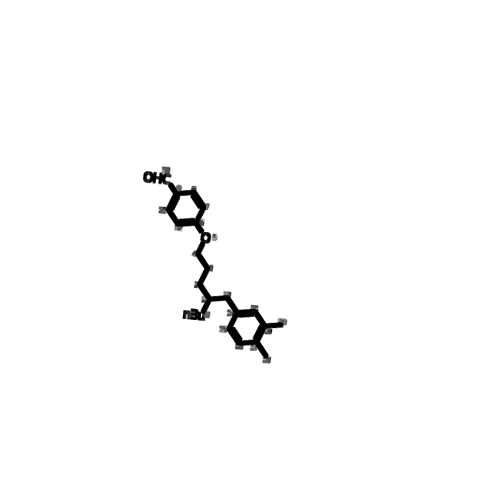 CCCCC(CCCOc1ccc(C=O)cc1)Cc1ccc(C)c(C)c1